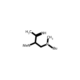 CCC(C)N(C)CC(NC)C(C)=N